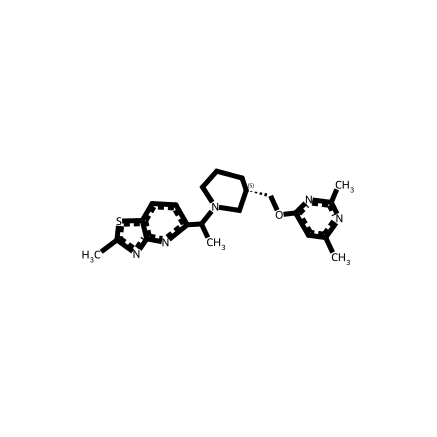 Cc1cc(OC[C@H]2CCCN(C(C)c3ccc4sc(C)nc4n3)C2)nc(C)n1